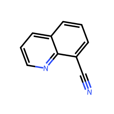 N#Cc1cccc2cccnc12